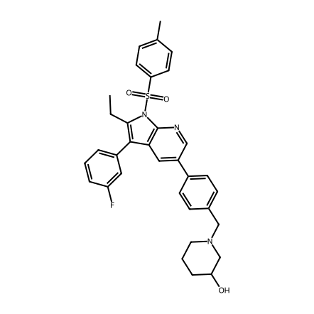 CCc1c(-c2cccc(F)c2)c2cc(-c3ccc(CN4CCCC(O)C4)cc3)cnc2n1S(=O)(=O)c1ccc(C)cc1